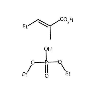 CCC=C(C)C(=O)O.CCOP(=O)(O)OCC